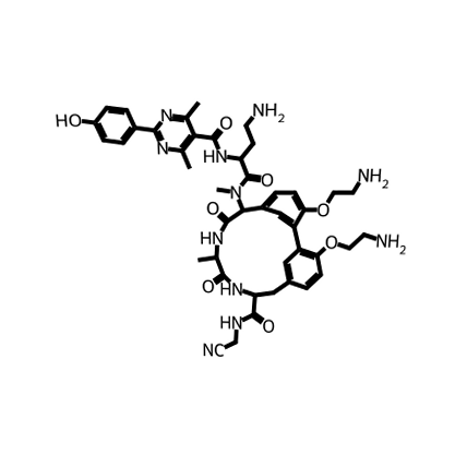 Cc1nc(-c2ccc(O)cc2)nc(C)c1C(=O)NC(CCN)C(=O)N(C)C1C(=O)NC(C)C(=O)NC(C(=O)NCC#N)Cc2ccc(OCCN)c(c2)-c2cc1ccc2OCCN